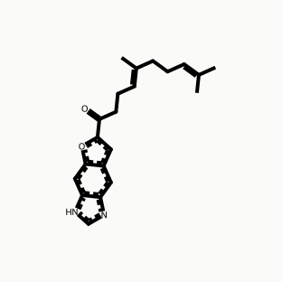 CC(C)=CCC/C(C)=C/CCC(=O)c1cc2cc3nc[nH]c3cc2o1